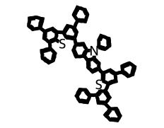 c1ccc(-c2cc(-c3ccccc3)c3sc4c(-c5ccc6c7ccc(-c8cc(-c9ccccc9)cc9c8sc8c(-c%10ccccc%10)cc(-c%10ccccc%10)cc89)cc7n(-c7ccccc7)c6c5)cc(-c5ccccc5)cc4c3c2)cc1